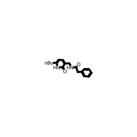 CCCCc1ccc(CNC(=O)Cc2ccccc2)c(=O)[nH]1